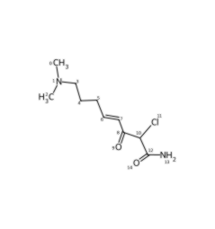 CN(C)CCCC=CC(=O)C(Cl)C(N)=O